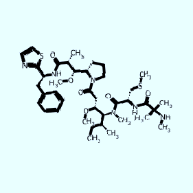 CC[C@H](C)[C@@H]([C@@H](CC(=O)N1CCC[C@H]1[C@H](OC)[C@@H](C)C(=O)N[C@@H](Cc1ccccc1)c1nccs1)OC)N(C)C(=O)[C@H](CSC)NC(=O)C(C)(C)NC